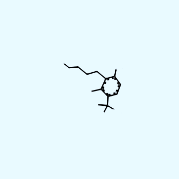 Cc1ccc(C(C)(C)C)c(Cl)c1CCCCN